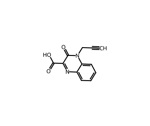 C#CCn1c(=O)c(C(=O)O)nc2ccccc21